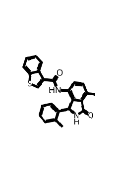 Cc1ccccc1C1NC(=O)c2c(C)ccc(NC(=O)c3csc4ccccc34)c21